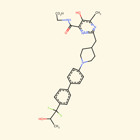 Cc1nc(CC2CCN(c3ccc(-c4ccc(C(F)(F)C(C)O)cc4)cc3)CC2)nc(C(=O)NCC(=O)O)c1O